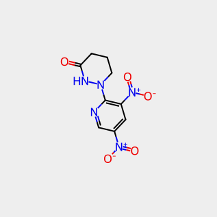 O=C1CCCN(c2ncc([N+](=O)[O-])cc2[N+](=O)[O-])N1